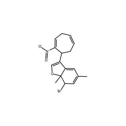 CC1=CC(Br)C2(C)OC=C(C3CC=CCC=C3[N+](=O)[O-])C2=C1